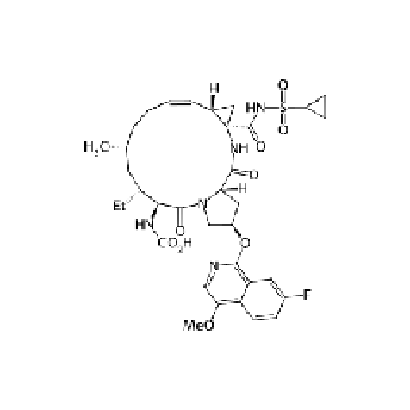 CC[C@@H]1C[C@H](C)CCC=C[C@@H]2C[C@@]2(C(=O)NS(=O)(=O)C2CC2)NC(=O)[C@@H]2C[C@@H](Oc3ncc(OC)c4ccc(F)cc34)CN2C(=O)[C@H]1NC(=O)O